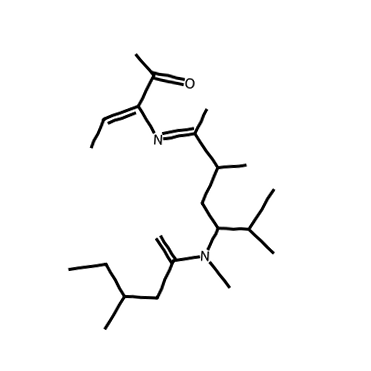 C=C(CC(C)CC)N(C)C(CC(C)/C(C)=N/C(=C\C)C(C)=O)C(C)C